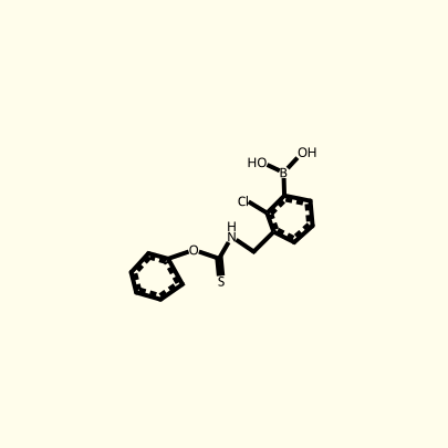 OB(O)c1cccc(CNC(=S)Oc2ccccc2)c1Cl